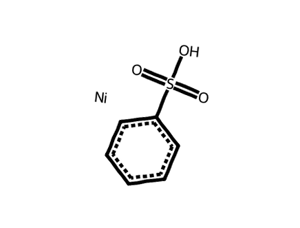 O=S(=O)(O)c1ccccc1.[Ni]